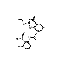 CCSc1cc(=O)c2cc(C)cc([C@@H](C)Nc3cccc(F)c3C(=O)O)c2o1